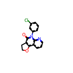 O=c1c2c(c3cccnc3n1-c1cccc(Cl)c1)OCC2